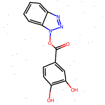 O=C(On1nnc2ccccc21)c1ccc(O)c(O)c1